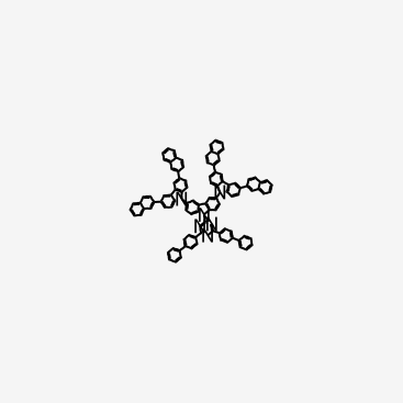 c1ccc(-c2ccc(-c3nc(-c4ccc(-c5ccccc5)cc4)nc(-n4c5ccc(-n6c7ccc(-c8ccc9ccccc9c8)cc7c7cc(-c8ccc9ccccc9c8)ccc76)cc5c5cc(-n6c7ccc(-c8ccc9ccccc9c8)cc7c7cc(-c8ccc9ccccc9c8)ccc76)ccc54)n3)cc2)cc1